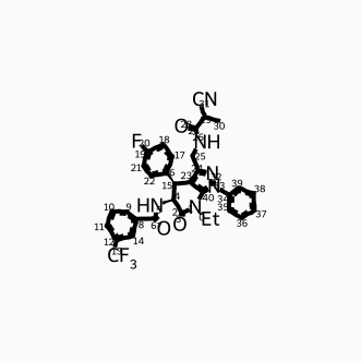 CCN1C(=O)[C@@H](NC(=O)c2cccc(C(F)(F)F)c2)[C@@H](c2ccc(F)cc2)c2c(CNC(=O)C(C)C#N)nn(-c3ccccc3)c21